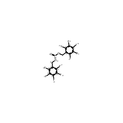 O=[PH](OCc1c(F)c(F)c(F)c(F)c1F)OCc1c(F)c(F)c(F)c(F)c1F